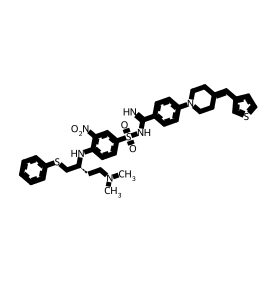 CN(C)CC[C@H](CSc1ccccc1)Nc1ccc(S(=O)(=O)NC(=N)c2ccc(N3CCC(=Cc4ccsc4)CC3)cc2)cc1[N+](=O)[O-]